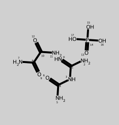 N=C(N)NC(N)=O.NC(=O)C(N)=O.O=P(O)(O)O